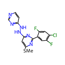 CSc1cc(NNc2ccncn2)nc(-c2cc(F)c(Cl)cc2F)n1